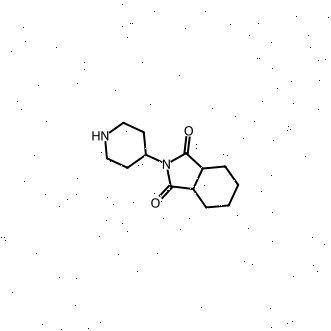 O=C1C2CCCCC2C(=O)N1C1CCNCC1